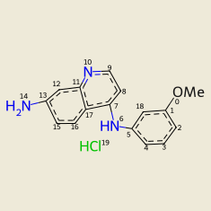 COc1cccc(Nc2ccnc3cc(N)ccc23)c1.Cl